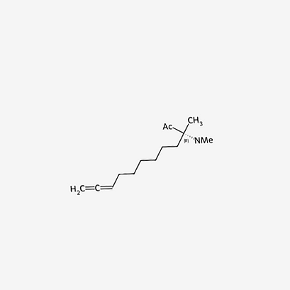 C=C=CCCCCCC[C@@](C)(NC)C(C)=O